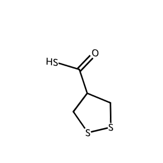 O=C(S)C1CSSC1